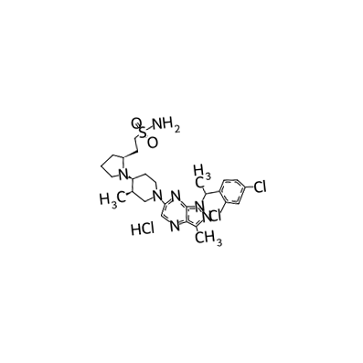 Cc1nn(C(C)c2ccc(Cl)cc2Cl)c2nc(N3CC[C@H](N4CCC[C@H]4CCS(N)(=O)=O)[C@H](C)C3)cnc12.Cl